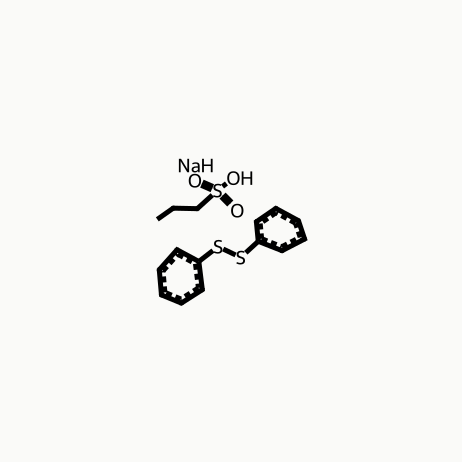 CCCS(=O)(=O)O.[NaH].c1ccc(SSc2ccccc2)cc1